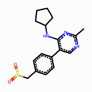 Cc1ncc(-c2ccc(C[SH](=O)=O)cc2)c(NC2CCCC2)n1